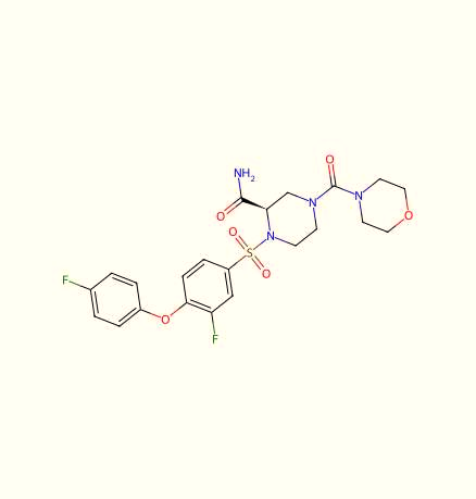 NC(=O)[C@H]1CN(C(=O)N2CCOCC2)CCN1S(=O)(=O)c1ccc(Oc2ccc(F)cc2)c(F)c1